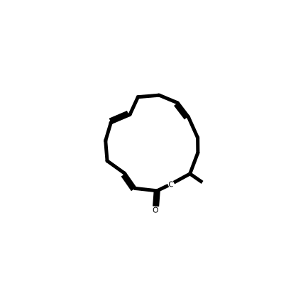 CC1CC/C=C\CC/C=C/CC/C=C/C(=O)C1